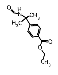 CCOC(=O)c1ccc(C(C)(C)NC=O)cc1